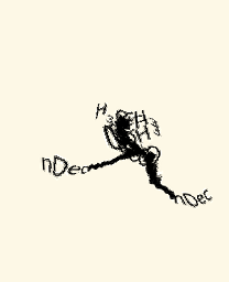 CCCCCCCCCCCCCCCCCC=CC(=O)OC[C@H](COP(=O)(O)OCC[N+](C)(C)C)OC(=O)C=CCCCCCCCCCCCCCCCCC